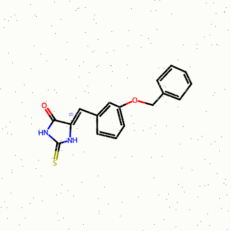 O=C1NC(=S)N/C1=C\c1cccc(OCc2ccccc2)c1